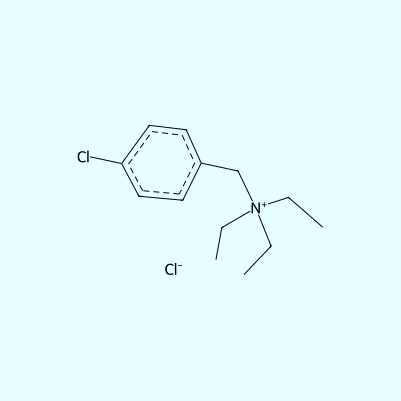 CC[N+](CC)(CC)Cc1ccc(Cl)cc1.[Cl-]